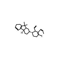 C=CC1C(/C=C\C)=C(I)CC[C@H]1C1CC[C@@H]2C3=C(CCC=C3)C(C)(C)C2C1